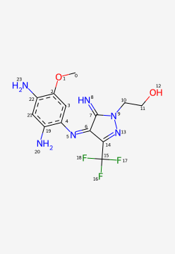 COc1cc(N=C2C(=N)N(CCO)N=C2C(F)(F)F)c(N)cc1N